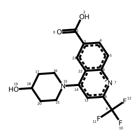 O=C(O)c1ccc2nc(C(F)(F)F)cc(N3CCC(O)CC3)c2c1